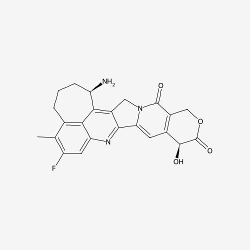 Cc1c(F)cc2nc3c(c4c2c1CCC[C@H]4N)Cn1c-3cc2c(c1=O)COC(=O)[C@H]2O